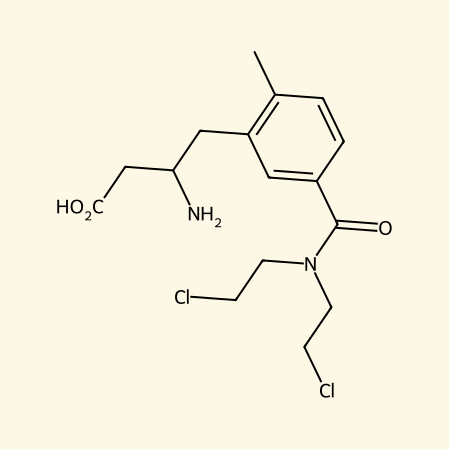 Cc1ccc(C(=O)N(CCCl)CCCl)cc1CC(N)CC(=O)O